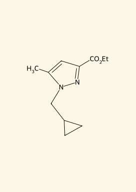 CCOC(=O)c1cc(C)n(CC2CC2)n1